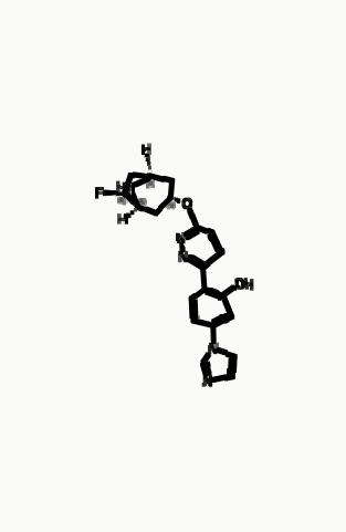 Oc1cc(-n2ccnc2)ccc1-c1ccc(O[C@H]2C[C@@H]3C[C@H](F)[C@H](C2)N3)nn1